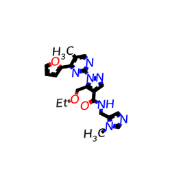 CCOCc1c(C(=O)NCc2cncn2C)cnn1-c1ncc(C)c(-c2ccco2)n1